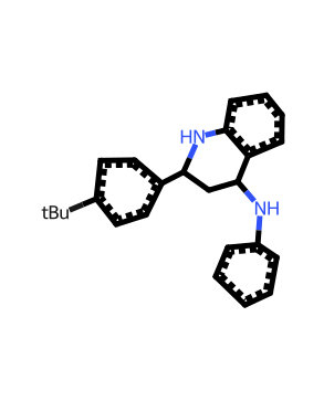 CC(C)(C)c1ccc(C2CC(Nc3ccccc3)c3ccccc3N2)cc1